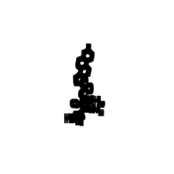 CC1CCC2C(CCC3C2CCC2(C)C(C(=O)CN(N)C(=O)N(N)c4cn[nH]c4)CCC32)C1